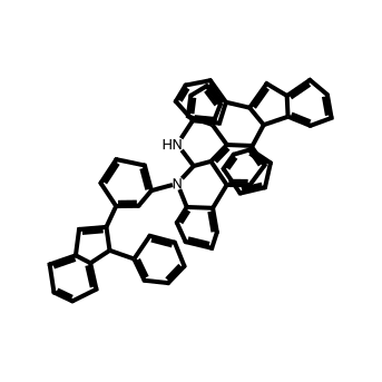 C1=CC(c2cccc3c2C(Nc2cccc(C4=Cc5ccccc5C4c4ccccc4)c2)N(c2cccc(C4=Cc5ccccc5C4c4ccccc4)c2)c2ccccc2-3)C=C1